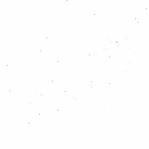 Cc1ccc(S(=O)(=O)N(CCC2CCC(C(C(N)=O)(c3ccccc3)C3C=CC=CC3)C2)CC[N+](C)(C)CCCCN2C(=O)c3ccccc3C2=O)cc1